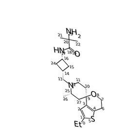 CCc1cc2c(s1)CCO[C@@]21CCN(C[C@H]2C[C@@H](NC(=O)C(C)(C)N)C2)[C@@H](C)C1